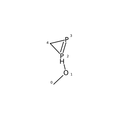 CO[PH]1=PC1